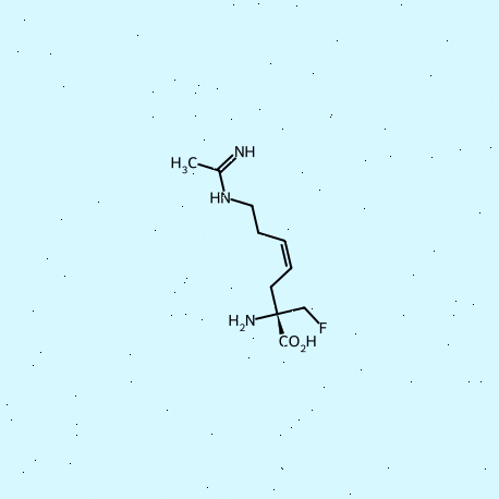 CC(=N)NCC/C=C\C[C@@](N)(CF)C(=O)O